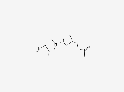 C=C(C)CCC1CC[C@@H](N(C)C[C@H](C)CN)C1